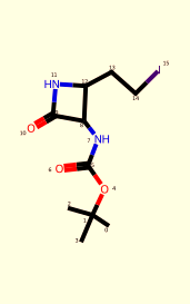 CC(C)(C)OC(=O)NC1C(=O)NC1CCI